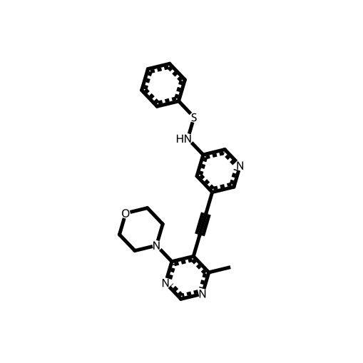 Cc1ncnc(N2CCOCC2)c1C#Cc1cncc(NSc2ccccc2)c1